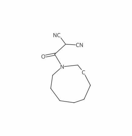 N#CC(C#N)C(=O)N1CCCCCCCC1